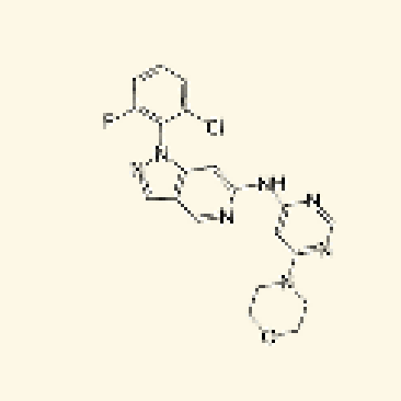 Fc1cccc(Cl)c1-n1ncc2cnc(Nc3cc(N4CCOCC4)ncn3)cc21